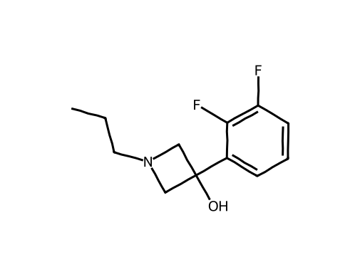 CCCN1CC(O)(c2cccc(F)c2F)C1